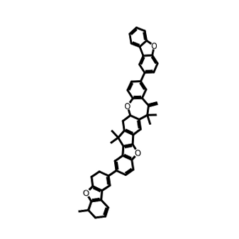 C=C1c2cc(-c3ccc4oc5ccccc5c4c3)ccc2OC2CC3=C(C=C2C1(C)C)c1oc2ccc(C4=Cc5c(oc6c5C=CCC6C)CC4)cc2c1C3(C)C